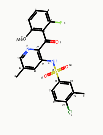 COc1cccc(F)c1C(=O)c1ncc(C)cc1NS(=O)(=O)c1ccc(Cl)c(C)c1